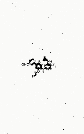 O=CN1CCOC(c2cc(OCCF)c(Nc3ncc(C(F)(F)F)c(NC4CC4)n3)cc2F)C1